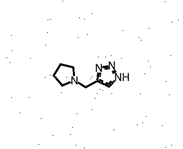 c1[nH]nnc1CN1CCCC1